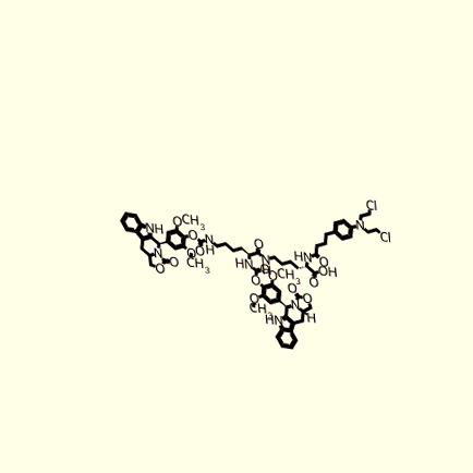 COc1cc([C@@H]2c3[nH]c4ccccc4c3CC3COC(=O)N32)cc(OC)c1OC(=O)NCCCC[C@H](NC(=O)Oc1c(OC)cc([C@@H]2c3[nH]c4ccccc4c3C[C@H]3COC(=O)N32)cc1OC)C(=O)NCCCC[C@H](NC(=O)CCCc1ccc(N(CCCl)CCCl)cc1)C(=O)O